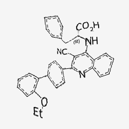 CCOc1ccccc1-c1ccc(-c2nc3ccccc3c(N[C@H](Cc3ccccc3)C(=O)O)c2C#N)cc1